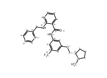 CN1CCC[C@H]1COc1cc(NC(=O)c2cccnc2NCc2ccncn2)cc(C(F)(F)F)c1